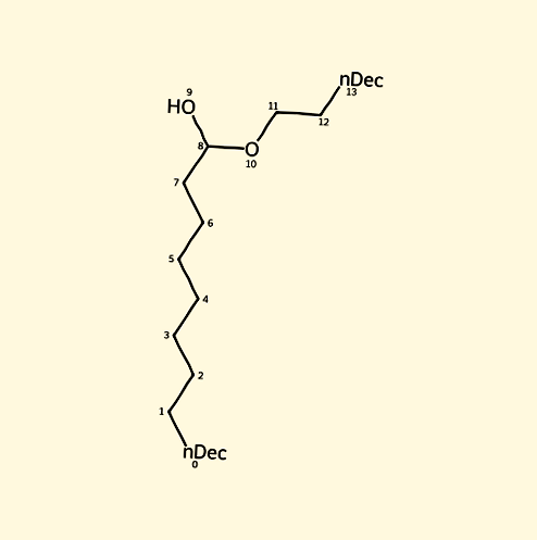 CCCCCCCCCCCCCCCCCC(O)OCCCCCCCCCCCC